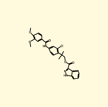 COc1ccc(C(=O)Nc2ccc(C(C)(C)COC(=O)c3n[nH]c4ccccc34)c(Cl)c2)cc1OC